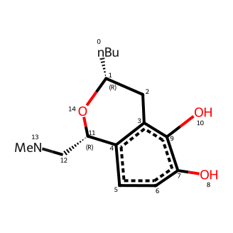 CCCC[C@@H]1Cc2c(ccc(O)c2O)[C@H](CNC)O1